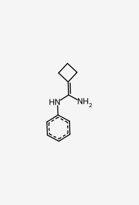 NC(Nc1ccccc1)=C1CCC1